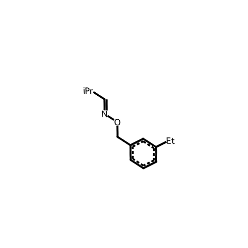 CCc1cccc(CON=CC(C)C)c1